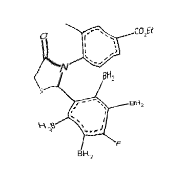 Bc1c(B)c(C2SCC(=O)N2c2ccc(C(=O)OCC)cc2C)c(B)c(B)c1F